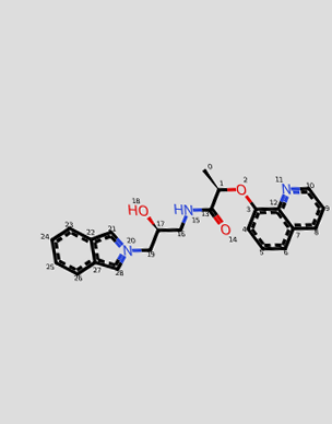 C[C@@H](Oc1cccc2cccnc12)C(=O)NC[C@H](O)Cn1cc2ccccc2c1